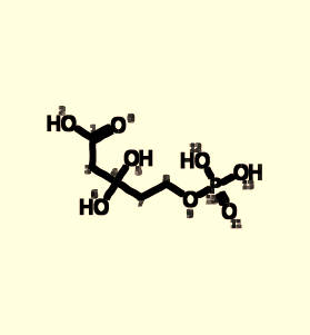 O=C(O)CC(O)(O)CCOP(=O)(O)O